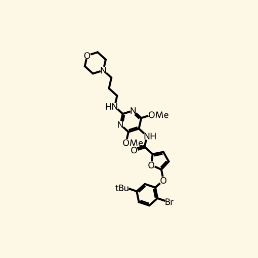 COc1nc(NCCCN2CCOCC2)nc(OC)c1NC(=O)c1ccc(Oc2cc(C(C)(C)C)ccc2Br)o1